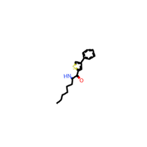 CCCCCCC(=N)C(=O)c1cc(-c2ccccc2)cs1